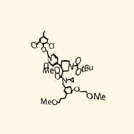 COCCCc1cc(CN(C(=O)C2CN(C(=O)OC(C)(C)C)CCC2(OC)c2ccn(CCOc3c(Cl)cc(C)cc3Cl)c(=O)c2)C2CC2)cc(OCCOC)c1